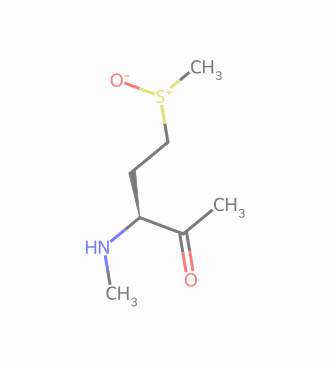 CN[C@@H](CC[S+](C)[O-])C(C)=O